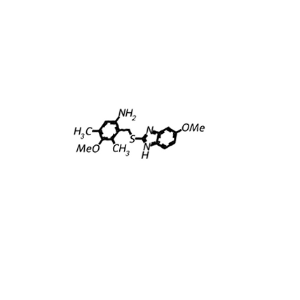 COc1ccc2[nH]c(SCc3c(N)cc(C)c(OC)c3C)nc2c1